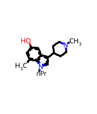 CCCn1cc(C2CCN(C)CC2)c2cc(O)cc(C)c21